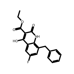 CCOC(=O)c1c(O)c2cc(F)cc(Cc3ccccc3)c2[nH]c1=O